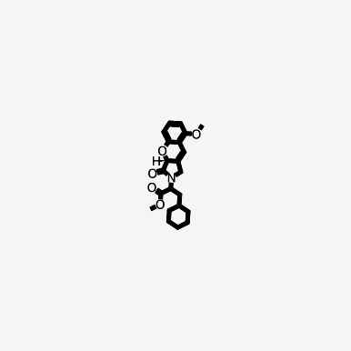 COC(=O)C(CC1CCCCC1)N1CC2=Cc3c(OC)cccc3O[C@@H]2C1=O